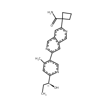 CC[C@H](O)c1cc(C)c(-c2cc3cnc(C4(C(N)=O)CCC4)cc3cn2)cn1